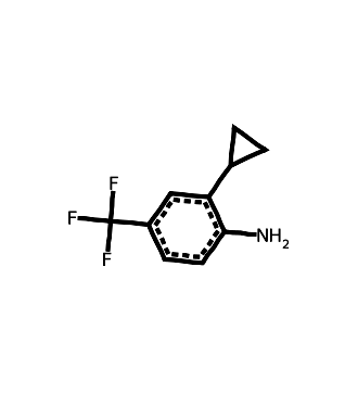 Nc1ccc(C(F)(F)F)cc1C1CC1